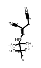 CC(C)(NC=C(C#N)CC#N)C(F)(F)F